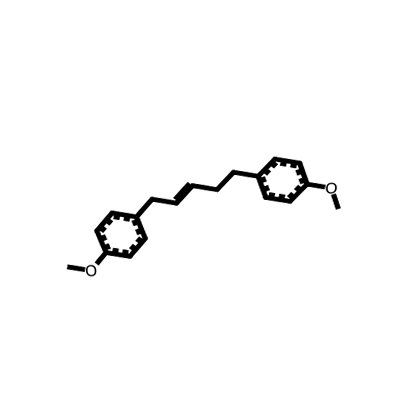 COc1ccc(CC=CCCc2ccc(OC)cc2)cc1